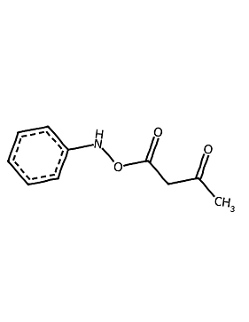 CC(=O)CC(=O)ONc1ccccc1